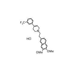 COc1cc2ccc(CCN3CC=C(c4cccc(C(F)(F)F)c4)CC3)cc2cc1OC.Cl